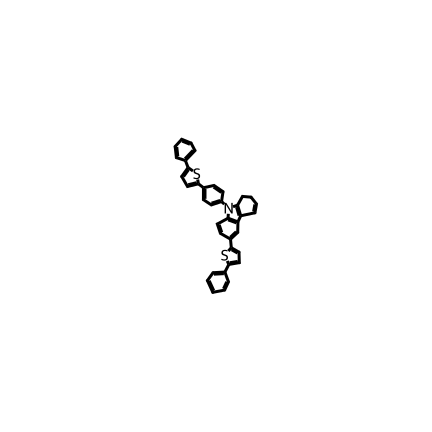 C1=Cc2c(n(-c3ccc(-c4ccc(-c5ccccc5)s4)cc3)c3ccc(-c4ccc(-c5ccccc5)s4)cc23)CC1